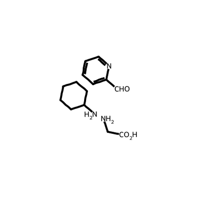 NC1CCCCC1.NCC(=O)O.O=Cc1ccccn1